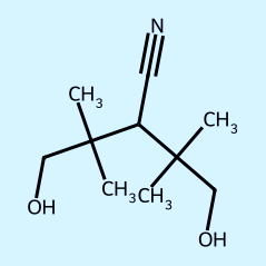 CC(C)(CO)C(C#N)C(C)(C)CO